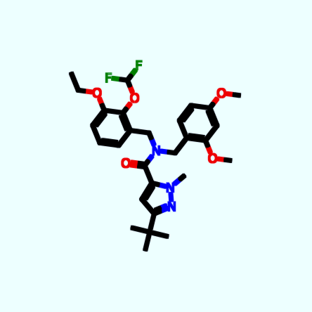 CCOc1cccc(CN(Cc2ccc(OC)cc2OC)C(=O)c2cc(C(C)(C)C)nn2C)c1OC(F)F